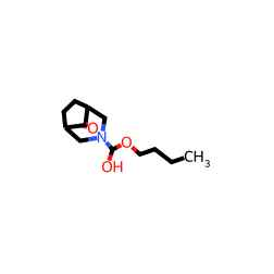 CCCCOC(O)N1CC2CCC(C1)C2=O